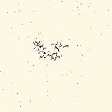 Cc1ccc(C#N)c(Oc2cc([C@H]3CC(=O)N(c4ccc(S(N)(=O)=O)cc4)C3)ccc2Cl)n1